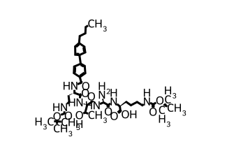 CCCCc1ccc(-c2ccc(C(=O)N[C@@H](CCNC(=O)OC(C)(C)C)C(=O)N[C@H](C(=O)N[C@@H](N)C(=O)N[C@@H](CCCCNC(=O)OC(C)(C)C)C(=O)O)C(C)O)cc2)cc1